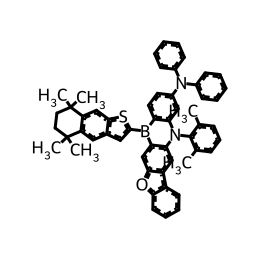 Cc1cccc(C)c1N1c2cc(N(c3ccccc3)c3ccccc3)ccc2B(c2cc3cc4c(cc3s2)C(C)(C)CCC4(C)C)c2cc3oc4ccccc4c3cc21